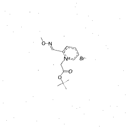 CO/N=C/c1cccc[n+]1CC(=O)OC(C)(C)C.[Br-]